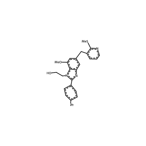 COc1cc(Cc2cccnc2SC)cc2nc(-c3ccc(C(C)C)cc3)n(CCO)c12